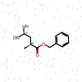 CCC[C@@H](C[C@H](C)C(=O)OCc1ccccc1)N=O